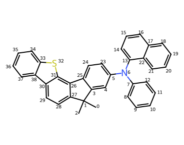 CC1(C)c2cc(N(c3ccccc3)c3cccc4ccccc34)ccc2-c2c1ccc1c2sc2ccccc21